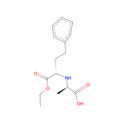 CCOC(=O)[C@H](CCc1ccccc1)N[C@H](C)C(=O)O